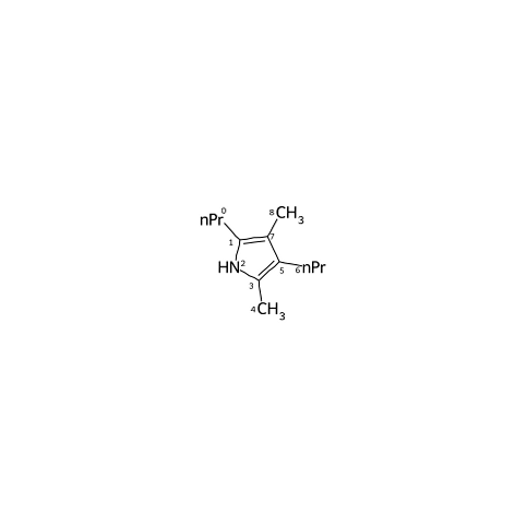 CCCc1[nH]c(C)c(CCC)c1C